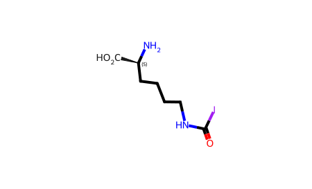 N[C@@H](CCCCNC(=O)I)C(=O)O